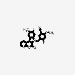 CSc1cc(F)c(Cn2c3cc(F)c(C)cc3c3c4cccnc4oc(=O)c32)cc1C#N